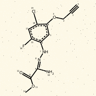 C#CCOc1cc(N/N=C(\N)C(=O)OC)c(F)cc1Cl